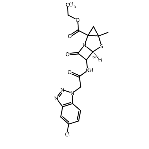 CC12CC1(C(=O)OCC(Cl)(Cl)Cl)N1C(=O)C(NC(=O)Cn3nnc4cc(Cl)ccc43)[C@@H]1S2